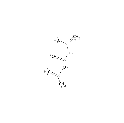 C=C(C)OC(=O)OC(=C)C